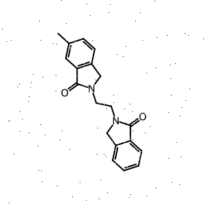 Cc1ccc2c(c1)C(=O)N(CCN1Cc3ccccc3C1=O)C2